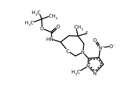 Cn1ncc([N+](=O)[O-])c1N1CCC(NC(=O)OC(C)(C)C)CC(C)(F)C1